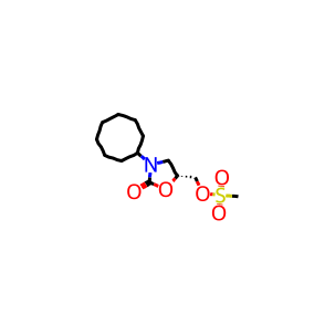 CS(=O)(=O)OC[C@H]1CN(C2CCCCCCC2)C(=O)O1